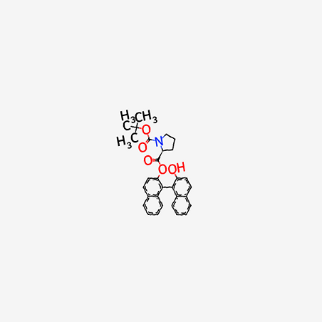 CC(C)(C)OC(=O)N1CCC[C@H]1C(=O)Oc1ccc2ccccc2c1-c1c(O)ccc2ccccc12